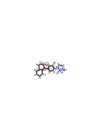 Cc1c(N2C=CN(C)C2(C)C)ccc2c1oc1ccc3ccccc3c12